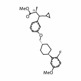 COC(=O)[C@@H](C)C(c1cccc(OC[C@H]2CC[C@H](c3cc(OC)ccc3F)CC2)c1)C1CC1